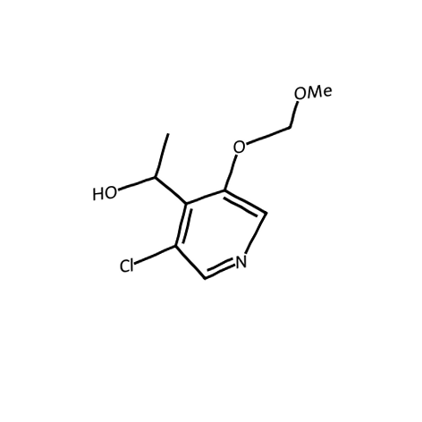 COCOc1cncc(Cl)c1C(C)O